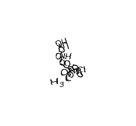 COC(=O)c1[nH]c2c(-c3ccccc3)c(Cl)ccc2c(=O)c1Cc1ccc(C(=O)NC2CCC(O)CC2)cc1